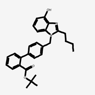 CCCCc1nc2c(O)cccc2n1Cc1ccc(-c2ccccc2C(=O)OC(C)(C)C)cc1